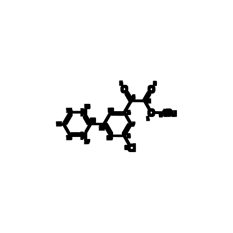 CC(C)(C)OC(=O)C(=O)c1cc(Cl)cc(-c2ncccn2)c1